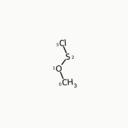 COSCl